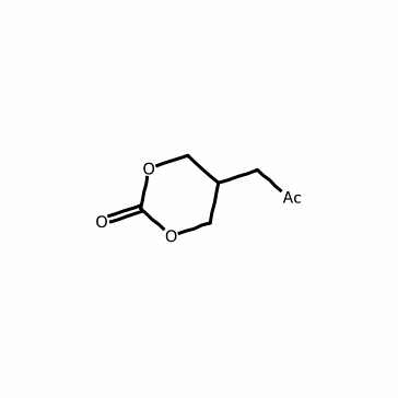 CC(=O)CC1COC(=O)OC1